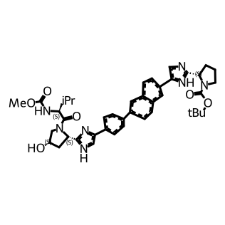 COC(=O)N[C@H](C(=O)N1C[C@@H](O)C[C@H]1c1nc(-c2ccc(-c3ccc4cc(-c5cnc([C@@H]6CCCN6C(=O)OC(C)(C)C)[nH]5)ccc4c3)cc2)c[nH]1)C(C)C